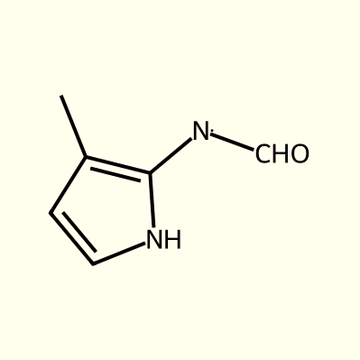 Cc1cc[nH]c1[N]C=O